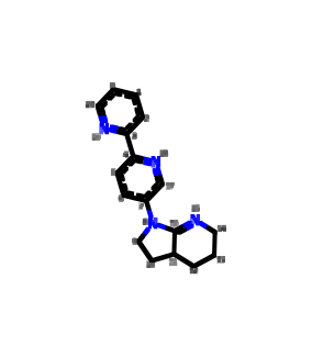 c1ccc(-c2ccc(N3CCC4CCCN=C43)cn2)nc1